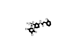 CCc1cc(Cl)c(=O)n(-c2ccc(NC(=O)Cc3ccccc3Cl)cc2S(N)(=O)=O)c1